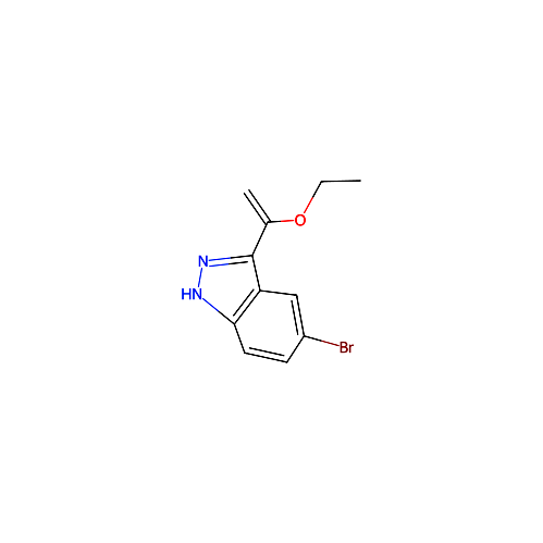 C=C(OCC)c1n[nH]c2ccc(Br)cc12